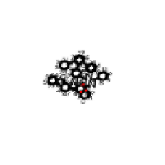 c1ccc(-c2nc(-c3ccccc3)nc(-c3cc(-c4c(-c5ccccc5)cccc4-c4ccccc4)ccc3-n3c4ccccc4c4ccc5c6ccccc6sc5c43)n2)cc1